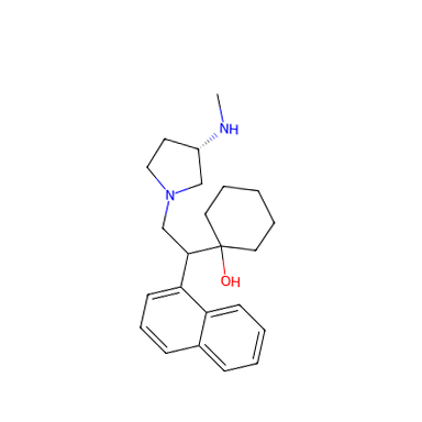 CN[C@H]1CCN(CC(c2cccc3ccccc23)C2(O)CCCCC2)C1